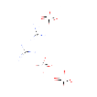 N=C(N)N.N=C(N)N.O=[Se](=O)([O-])[O-].O=[Se](=O)([O-])[O-].O=[Se](=O)([O-])[O-].[Ga+3].[Ga+3]